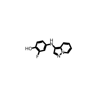 Oc1ccc(Nc2cnn3ccccc23)cc1F